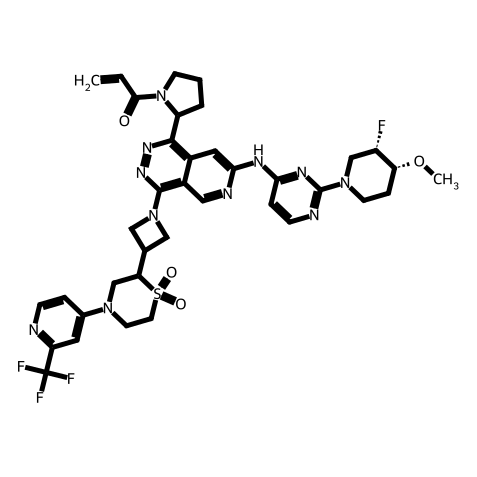 C=CC(=O)N1CCCC1c1nnc(N2CC(C3CN(c4ccnc(C(F)(F)F)c4)CCS3(=O)=O)C2)c2cnc(Nc3ccnc(N4CC[C@@H](OC)[C@@H](F)C4)n3)cc12